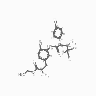 CCOC(=O)[C@H](C)Cc1ccc(Cl)c(NC(=O)[C@H](c2ccc(Cl)cc2)[C@@H](C)C(F)(F)F)c1